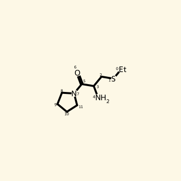 CCSCC(N)C(=O)N1CCCC1